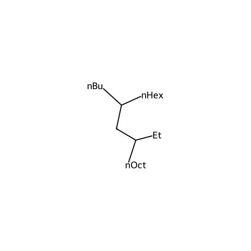 CCCCCCCCC(CC)CC(CCCC)CCCCCC